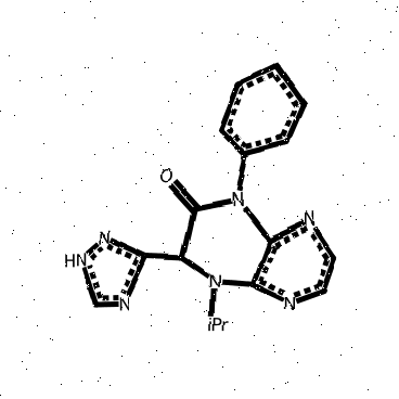 CC(C)N1c2nccnc2N(c2ccccc2)C(=O)C1c1nc[nH]n1